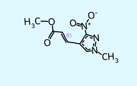 COC(=O)/C=C/c1cn(C)nc1[N+](=O)[O-]